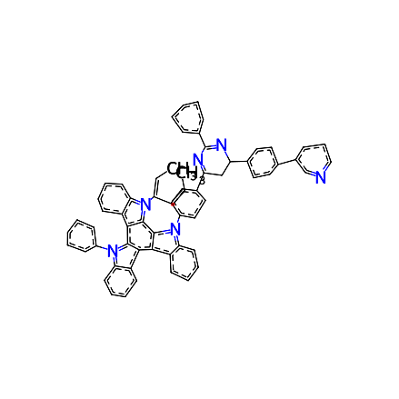 C/C=C\C(=C/C)n1c2ccccc2c2c1c1c(c3ccccc3n1-c1ccc(C3=NC(c4ccccc4)=NC(c4ccc(-c5cccnc5)cc4)C3)cc1)c1c3ccccc3n(-c3ccccc3)c12